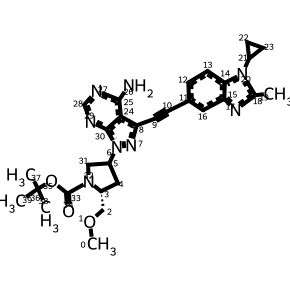 COC[C@H]1CC(n2nc(C#Cc3ccc4c(c3)nc(C)n4C3CC3)c3c(N)ncnc32)CN1C(=O)OC(C)(C)C